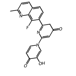 Cc1ccc2ccc(C3=NC(n4ccc(=O)c(O)c4)=CC(=O)C3)c(F)c2n1